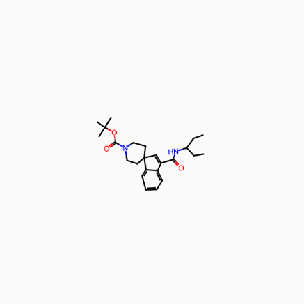 CCC(CC)NC(=O)C1=CC2(CCN(C(=O)OC(C)(C)C)CC2)c2ccccc21